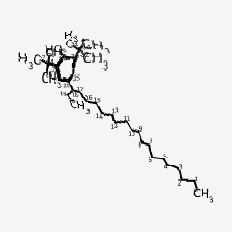 CCCCCCCCCCCCCCCCCCC(CC)c1cc(C(C)(C)C)c(O)c(C(C)(C)C)c1